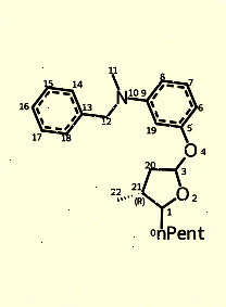 CCCCCC1OC(Oc2cccc(N(C)Cc3ccccc3)c2)C[C@H]1C